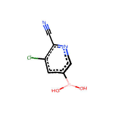 N#Cc1ncc(B(O)O)cc1Cl